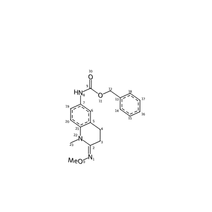 CON=C1CCc2cc(NC(=O)OCc3ccccc3)ccc2N1C